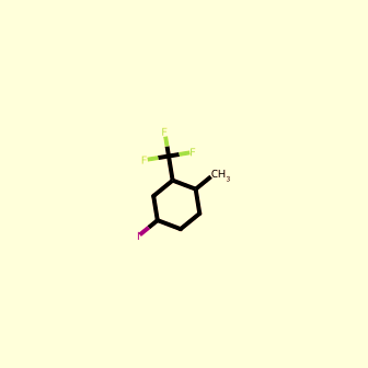 CC1CCC(I)CC1C(F)(F)F